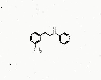 Cc1cccc(CCNc2cccnc2)c1